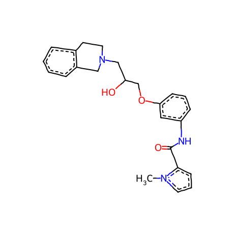 Cn1cccc1C(=O)Nc1cccc(OCC(O)CN2CCc3ccccc3C2)c1